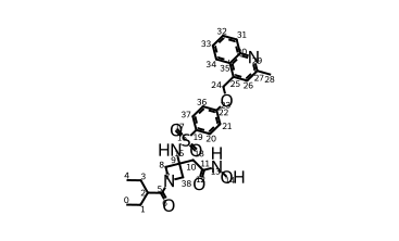 CCC(CC)C(=O)N1CC(CC(=O)NO)(NS(=O)(=O)c2ccc(OCc3cc(C)nc4ccccc34)cc2)C1